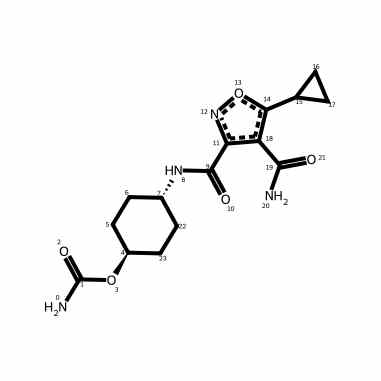 NC(=O)O[C@H]1CC[C@H](NC(=O)c2noc(C3CC3)c2C(N)=O)CC1